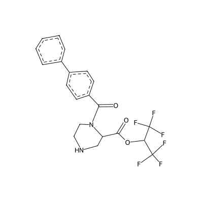 O=C(OC(C(F)(F)F)C(F)(F)F)C1CNCCN1C(=O)c1ccc(-c2ccccc2)cc1